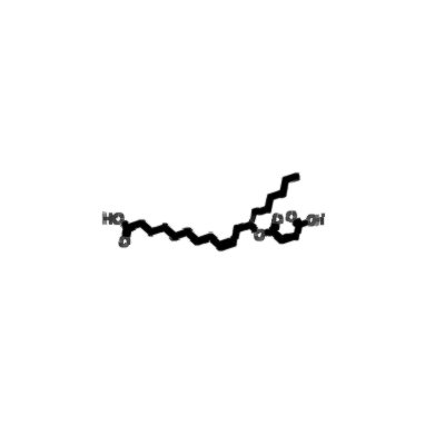 CCCCCC[C@H](C/C=C\CCCCCCCC(=O)O)OC(=O)/C=C\C(=O)O